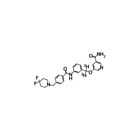 [2H]C([2H])(Oc1cncc(C(N)=O)c1)c1cccc(NC(=O)c2ccc(CN3CCC(F)(F)CC3)cc2)c1